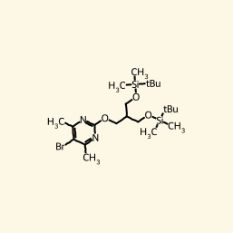 Cc1nc(OCC(CO[Si](C)(C)C(C)(C)C)CO[Si](C)(C)C(C)(C)C)nc(C)c1Br